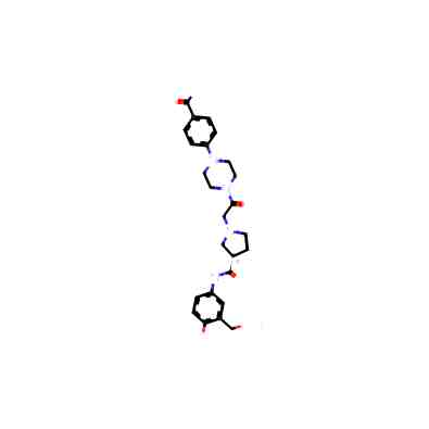 CC(=O)c1ccc(N2CCN(C(=O)CN3CC[C@@H](C(=O)Nc4ccc(O)c(CO)c4)C3)CC2)cc1